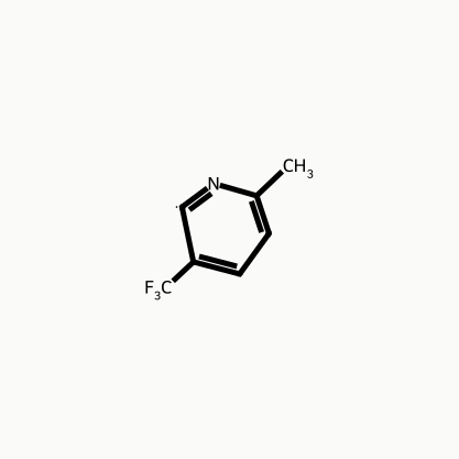 Cc1ccc(C(F)(F)F)[c]n1